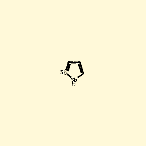 [C]1=[Sb][SbH][CH]=C1